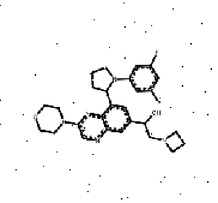 OC(CN1CCC1)c1cc(C2CCCN2c2cc(F)cc(F)c2)c2nc(N3CCOCC3)cnc2c1